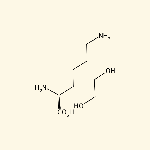 NCCCC[C@H](N)C(=O)O.OCCO